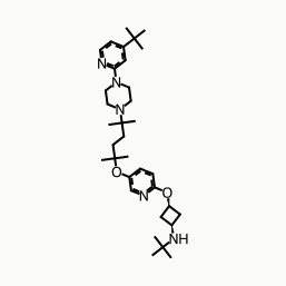 CC(C)(C)N[C@H]1C[C@@H](Oc2ccc(OC(C)(C)CCC(C)(C)N3CCN(c4cc(C(C)(C)C)ccn4)CC3)cn2)C1